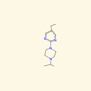 CCc1cnc(N2CCN(C(C)C)CC2)nc1